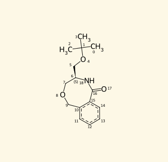 CC(C)(C)OC[C@@H]1COCc2ccccc2C(=O)N1